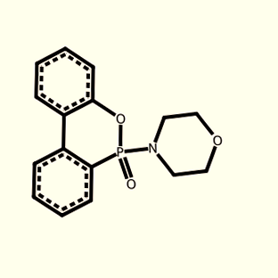 O=P1(N2CCOCC2)Oc2ccccc2-c2ccccc21